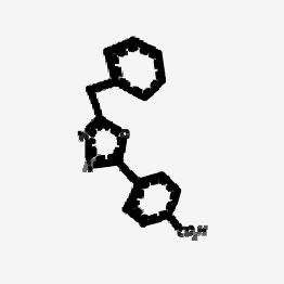 O=C(O)c1ccc(-c2nnc(Cc3ccccc3)o2)cc1